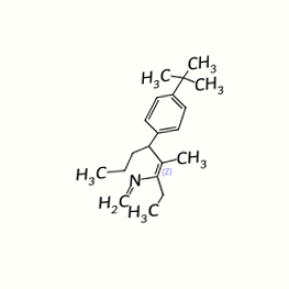 C=N/C(CC)=C(/C)C(CCC)c1ccc(C(C)(C)C)cc1